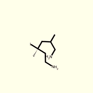 CC(CN)C[C@](C)(I)CCN